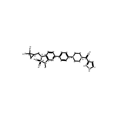 CN1c2nc(-c3ccc(N4CCN(C(=O)c5ccon5)CC4)cc3)ccc2N(CC2CC2(F)F)S1(=O)=O